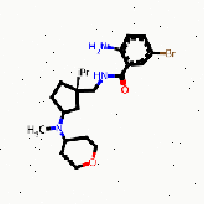 CC(C)[C@]1(CNC(=O)c2cc(Br)ccc2N)CCC(N(C)C2CCOCC2)C1